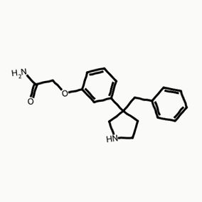 NC(=O)COc1cccc(C2(Cc3ccccc3)CCNC2)c1